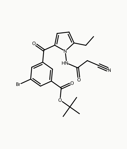 CCc1ccc(C(=O)c2cc(Br)cc(C(=O)OC(C)(C)C)c2)n1NC(=O)CC#N